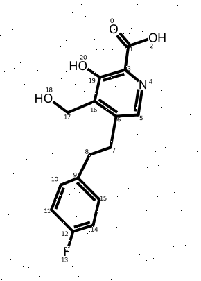 O=C(O)c1ncc(CCc2ccc(F)cc2)c(CO)c1O